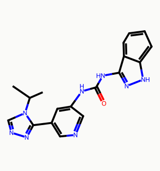 CC(C)n1cnnc1-c1cncc(NC(=O)Nc2n[nH]c3ccccc23)c1